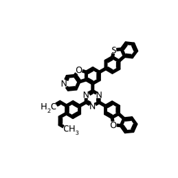 C=Cc1cc(-c2nc(-c3ccc4c(c3)oc3ccccc34)nc(-c3cc(-c4ccc5c(c4)sc4ccccc45)cc4oc5cnccc5c34)n2)ccc1/C=C\C